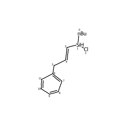 CCCC[SiH](Cl)C=CCc1ccccc1